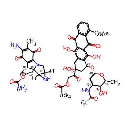 CCCCC(=O)OCC(=O)[C@]1(O)Cc2c(O)c3c(c(O)c2[C@@H](O[C@H]2C[C@H](NC(=O)C(F)(F)F)[C@H](O)[C@H](C)O2)C1)C(=O)c1c(OC)cccc1C3=O.CO[C@@]12[C@H](COC(N)=O)C3=C(C(=O)C(C)=C(N)C3=O)N1C[C@@H]1N[C@@H]12